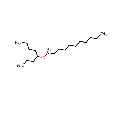 CCCCCCCCCC[SiH2]OC(CCC)CCCC